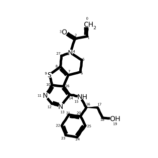 C=CC(=O)N1CCc2c(sc3ncnc(N[C@@H](CCO)c4ccccc4)c23)C1